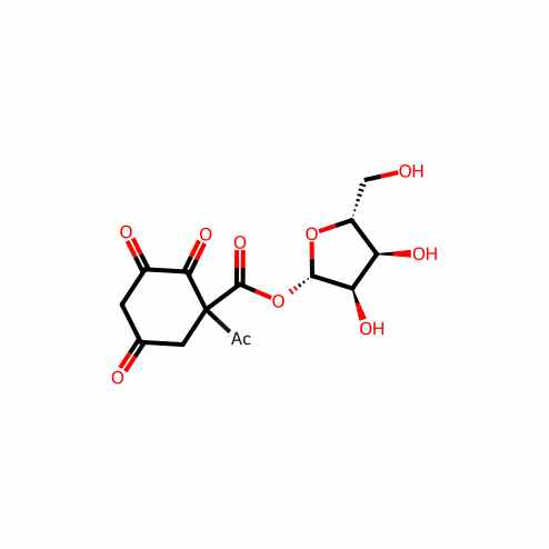 CC(=O)C1(C(=O)O[C@@H]2O[C@H](CO)[C@@H](O)[C@H]2O)CC(=O)CC(=O)C1=O